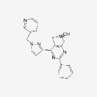 Cl.c1ccc(-c2nc3c(c(-c4ccn(Cc5cccnc5)n4)n2)CNC3)cc1